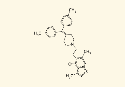 Cc1ccc(C(=C2CCN(CCc3c(C)nc4scc(C)n4c3=O)CC2)c2ccc(C)cc2)cc1